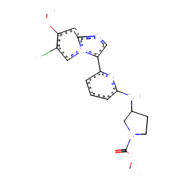 CC(C)Oc1cc2ncc(-c3cccc(NC4CCN(C(=O)OC(C)(C)C)C4)n3)n2cc1Cl